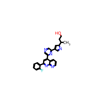 CC(CCO)C1C=C(c2cncc(-c3cc(-c4ccccc4F)nc4ncccc34)n2)C=N1